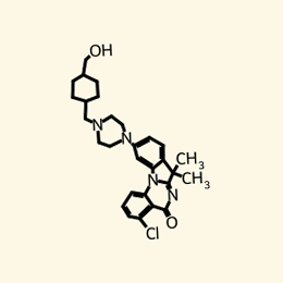 CC1(C)c2ccc(N3CCN(CC4CCC(CO)CC4)CC3)cc2-n2c1nc(=O)c1c(Cl)cccc12